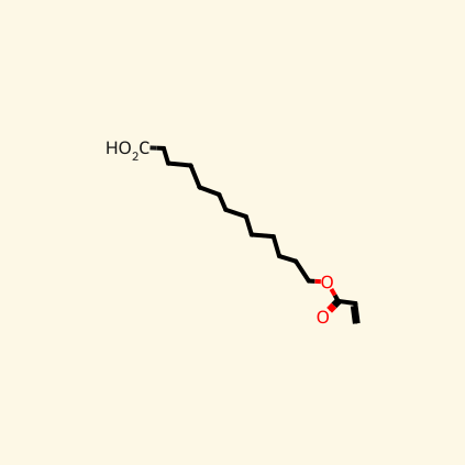 C=CC(=O)OCCCCCCCCCCCCC(=O)O